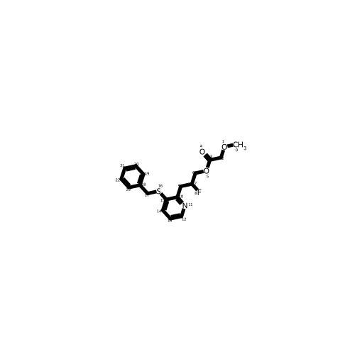 COCC(=O)OCC(F)Cc1ncccc1SCc1ccccc1